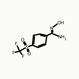 N/C(=N\O)c1ccc(S(=O)(=O)C(F)(F)F)cc1